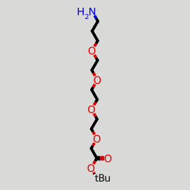 CC(C)(C)OC(=O)COCCOCCOCCOCCCN